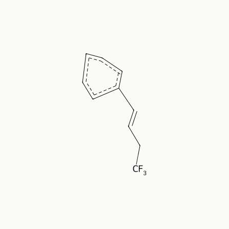 FC(F)(F)CC=Cc1ccccc1